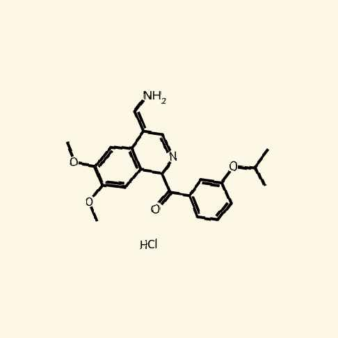 COc1cc2c(cc1OC)C(C(=O)c1cccc(OC(C)C)c1)N=CC2=CN.Cl